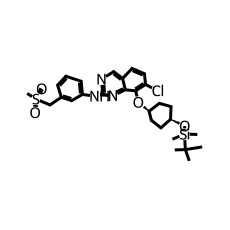 CC(C)(C)[Si](C)(C)O[C@H]1CC[C@@H](Oc2c(Cl)ccc3cnc(Nc4cccc(CS(C)(=O)=O)c4)nc23)CC1